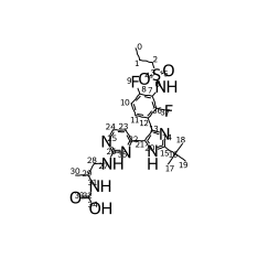 CCCS(=O)(=O)Nc1c(F)ccc(-c2nc(C(C)(C)C)[nH]c2-c2ccnc(NCC(C)NC(=O)O)n2)c1F